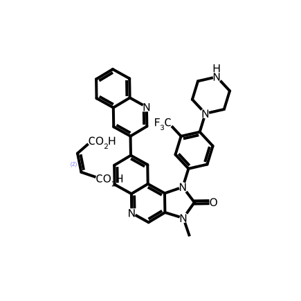 Cn1c(=O)n(-c2ccc(N3CCNCC3)c(C(F)(F)F)c2)c2c3cc(-c4cnc5ccccc5c4)ccc3ncc21.O=C(O)/C=C\C(=O)O